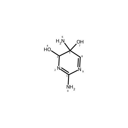 NC1=NC(O)C(N)(O)C=N1